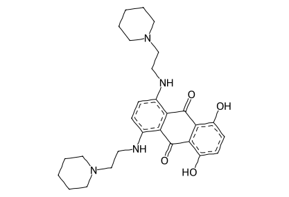 O=C1c2c(O)ccc(O)c2C(=O)c2c(NCCN3CCCCC3)ccc(NCCN3CCCCC3)c21